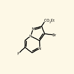 CCOC(=O)c1nn2cc(F)cnc2c1Br